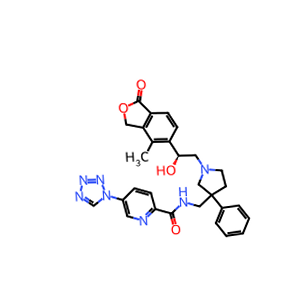 Cc1c([C@H](O)CN2CCC(CNC(=O)c3ccc(-n4cnnn4)cn3)(c3ccccc3)C2)ccc2c1COC2=O